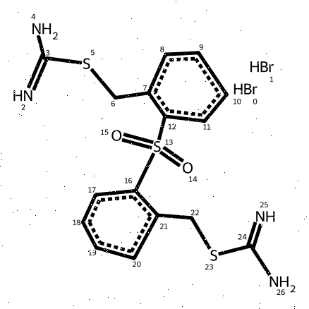 Br.Br.N=C(N)SCc1ccccc1S(=O)(=O)c1ccccc1CSC(=N)N